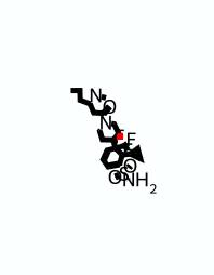 CCCC(CC(=O)N1CCC(C2(C(F)(F)F)C=CC=C(S(N)(=O)=O)C2C2CC2)CC1)N(C)C